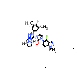 Cc1cc(-n2nc3c(c2-n2ccn(-c4ccc5c(cnn5C)c4F)c2=O)[C@H]2CC[C@@H](C3)N2)cc(C)c1F